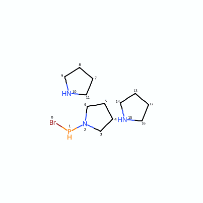 BrPN1CCCC1.C1CCNC1.C1CCNC1